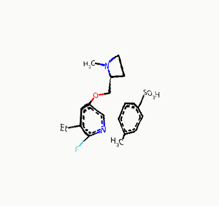 CCc1cc(OC[C@@H]2CCN2C)cnc1F.Cc1ccc(S(=O)(=O)O)cc1